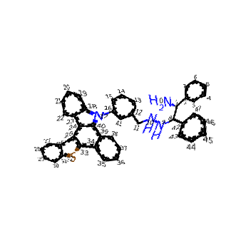 N[C@@H](c1ccccc1)C(NNCc1cccc(-n2c3ccccc3c3c4c5ccccc5sc4c4ccccc4c32)c1)c1ccccc1